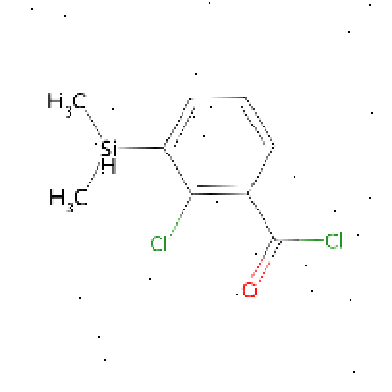 C[SiH](C)c1cccc(C(=O)Cl)c1Cl